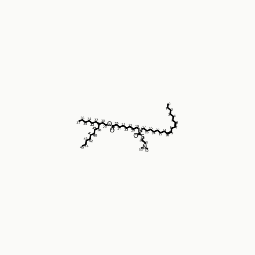 CCCCCC/C=C\C/C=C\CCCCCCCN(CCCCCCCC(=O)OCCC(CCCCCC)CCCCCCCC)C(=O)SCCN(C)C